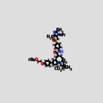 CCCCOCCOc1ccc(-c2ccc3c(c2)/C=C(/C(=O)Nc2ccc([S@@+]([O-])Cc4c(C)nc(C)n4CCC)cc2)CCCN3CC(C)(C)C(=O)O)cc1